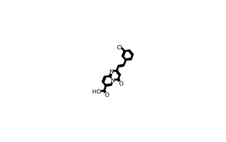 O=C(O)c1ccc2nc(C=Cc3cccc(Cl)c3)cc(=O)n2c1